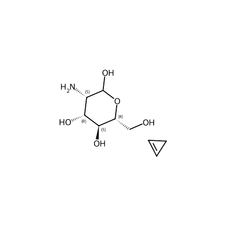 C1=CC1.N[C@@H]1C(O)O[C@H](CO)[C@@H](O)[C@@H]1O